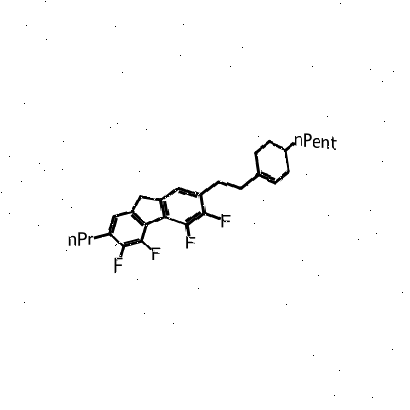 CCCCCC1CC=C(CCc2cc3c(c(F)c2F)-c2c(cc(CCC)c(F)c2F)C3)CC1